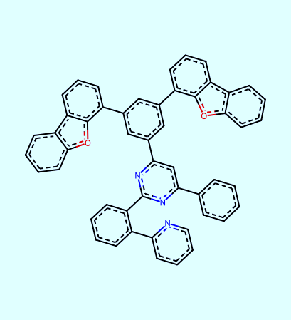 c1ccc(-c2cc(-c3cc(-c4cccc5c4oc4ccccc45)cc(-c4cccc5c4oc4ccccc45)c3)nc(-c3ccccc3-c3ccccn3)n2)cc1